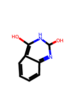 OC1=c2ccccc2=NC(O)N1